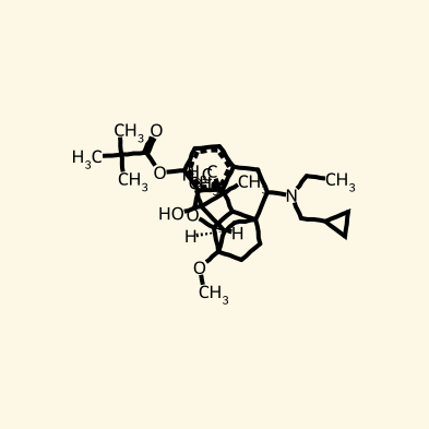 CCN(CC1CC1)C1Cc2ccc(OC(=O)C(C)(C)C)c3c2C2[C@@H](O3)C3(OC)CCC21C[C@@H]3C(C)(O)C(C)(C)C